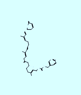 CC(=C/[C@H](C)C/C=C/C(C)=C/[C@@H](C)C(=O)[C@@H](C)[C@H](O)[C@@H](C)C/C(C)=C/COC(=O)NCc1ccc(C(F)(F)F)nc1)/C=C/[C@H]1CC=CC(=O)O1